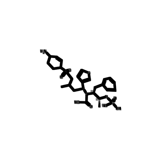 CC(CN(c1ccoc1)N(C(=O)O)[C@@H](Cc1ccccc1)[C@@H](C)OP(=O)(O)O)CS(=O)(=O)C1C=CC(N)CC1